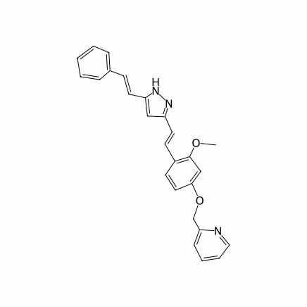 COc1cc(OCc2ccccn2)ccc1/C=C/c1cc(/C=C/c2ccccc2)[nH]n1